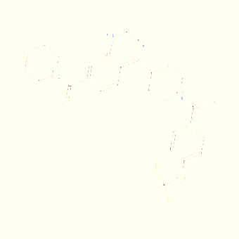 O=C(c1ccc2c(C3CCN(C(=O)c4ccc(OC(F)(F)F)cc4)CC3)ncnc2c1)N1CCOCC1